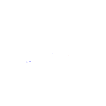 CC1CN(C(=O)OC(C)(C)C)CC[C@H]1N